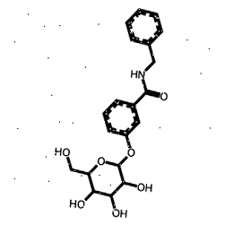 O=C(NCc1ccccc1)c1cccc(OC2OC(CO)C(O)C(O)C2O)c1